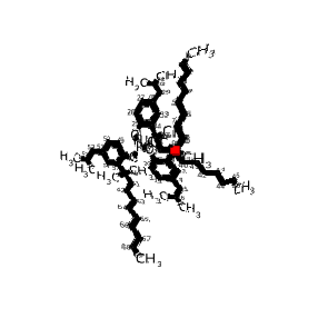 CCCCCCCCCC(C)(C)c1cc(CC(C)C)ccc1OP(Oc1ccc(CC(C)C)cc1C(C)(C)CCCCCCCCC)Oc1ccc(CC(C)C)cc1C(C)(C)CCCCCCCCC